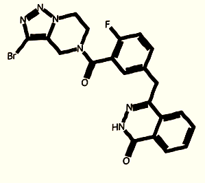 O=C(c1cc(Cc2n[nH]c(=O)c3ccccc23)ccc1F)N1CCn2nnc(Br)c2C1